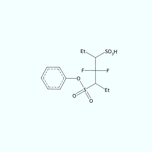 CCC(C(F)(F)C(CC)S(=O)(=O)Oc1ccccc1)S(=O)(=O)O